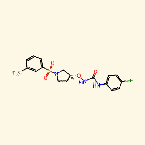 O=C(NO[C@@H]1CCN(S(=O)(=O)c2cccc(C(F)(F)F)c2)C1)Nc1ccc(F)cc1